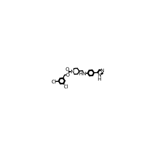 O=C(OCc1cc(Cl)cc(Cl)c1)N1CCC(CNc2ccc(-c3cnc[nH]3)cc2)CC1